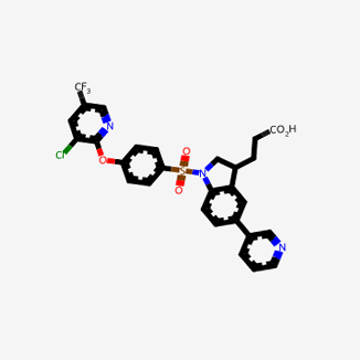 O=C(O)CCC1CN(S(=O)(=O)c2ccc(Oc3ncc(C(F)(F)F)cc3Cl)cc2)c2ccc(-c3cccnc3)cc21